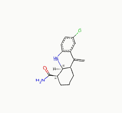 C=C1c2cc(Cl)ccc2N[C@H]2C1CCC[C@H]2C(N)=O